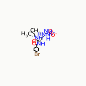 CC(C)C[CH]NC(=O)[C@H](CCCNC(=N)N[N+](=O)[O-])NC(=O)c1ccc(Br)cc1